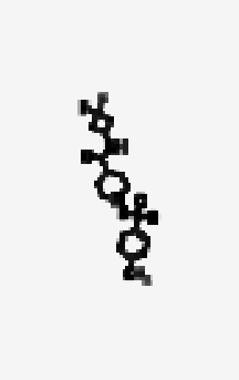 Cc1ccc(S(=O)(=O)SN2CCC(C(=O)NC3CC(F)(F)C3)CC2)cc1